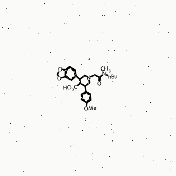 CCCCN(C)C(=O)CN1CC(c2ccc(OC)cc2)C(C(=O)O)C(c2ccc3c(c2)OCO3)C1